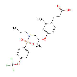 CCCN(CC(C)Oc1ccc(CCC(=O)O)c(C)c1)S(=O)(=O)c1ccc(OC(F)(F)F)cc1